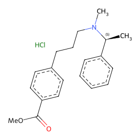 COC(=O)c1ccc(CCCN(C)[C@@H](C)c2ccccc2)cc1.Cl